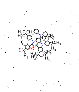 CCc1cc2c3c(oc2cc1C1(C)CCCC1)B1c2cc4c(cc2N(c2ccc5c(c2)C(C)(C)CCC5(C)C)c2cc(N(c5ccccc5)c5ccccc5)cc(c21)N3c1ccc(C(C)(C)C)cc1)C(C)(C)CCC4(C)C